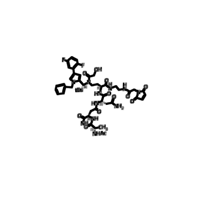 CC(=O)N[C@@H](C)C(=O)N[C@H](CC(=O)N[C@@H](CC(N)=O)C(=O)N[C@@H](CCN(C(=O)CO)[C@@H](c1cc(-c2cc(F)ccc2F)cn1Cc1ccccc1)C(C)(C)C)C(=O)NCCNC(=O)CN1C(=O)C=CC1=O)C(N)=O